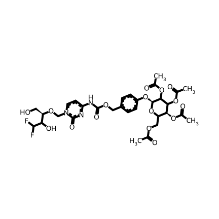 CC(=O)OCC1O[C@@H](Oc2ccc(COC(=O)Nc3ccn(CO[C@H](CO)C(O)C(F)F)c(=O)n3)cc2)C(OC(C)=O)C(OC(C)=O)[C@H]1OC(C)=O